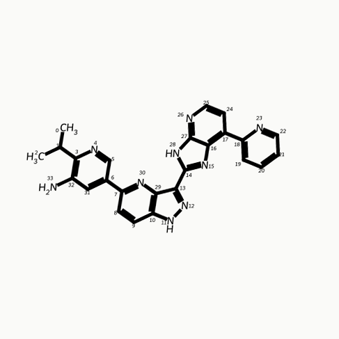 CC(C)c1ncc(-c2ccc3[nH]nc(-c4nc5c(-c6ccccn6)ccnc5[nH]4)c3n2)cc1N